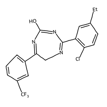 CCc1ccc(Cl)c(C2=NCC(c3cccc(C(F)(F)F)c3)=NC(O)=N2)c1